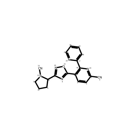 N#Cc1ccc(-c2nc(C3CCCN3C#N)no2)c(-c2ccccn2)n1